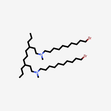 CCCC(CCCC(CCC)CCN(C)CCCCCCCCCCBr)CCN(C)CCCCCCCCCCBr